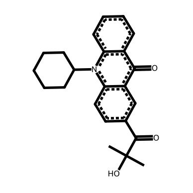 CC(C)(O)C(=O)c1ccc2c(c1)c(=O)c1ccccc1n2C1CCCCC1